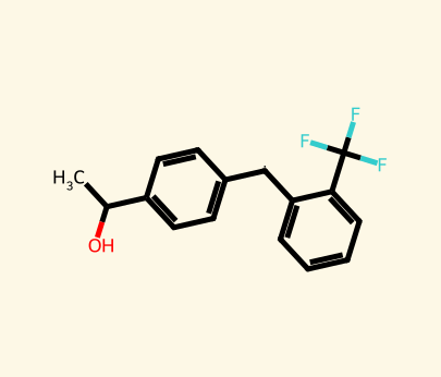 CC(O)c1ccc([CH]c2ccccc2C(F)(F)F)cc1